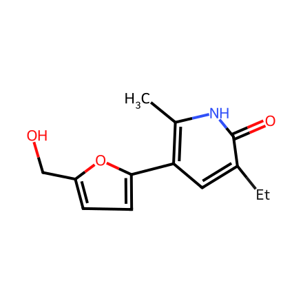 CCc1cc(-c2ccc(CO)o2)c(C)[nH]c1=O